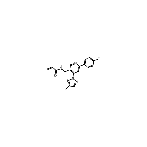 C=CC(=O)NCc1cnc(-c2ccc(F)cc2)cc1-n1ncc(C)n1